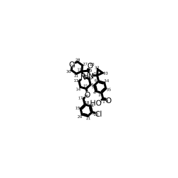 O=C(O)c1ccc(C2(NC(=O)C3(N4CCC(OCc5cccc(Cl)c5)CC4)CCOCC3)CC2)cc1